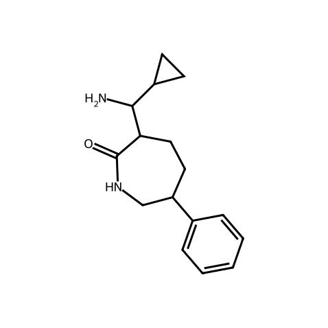 NC(C1CC1)C1CCC(c2ccccc2)CNC1=O